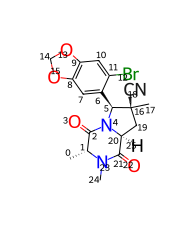 C[C@@H]1C(=O)N2[C@@H](c3cc4c(cc3Br)OCO4)[C@@](C)(C#N)C[C@H]2C(=O)N1C